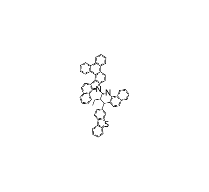 CCC1C(n2c3ccc4c5ccccc5c5ccccc5c4c3c3ccc4ccccc4c32)=Nc2c(ccc3ccccc23)C1c1ccc2c(c1)sc1ccccc12